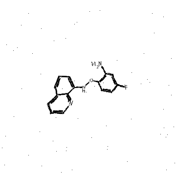 Nc1cc(F)ccc1ONc1cccc2cccnc12